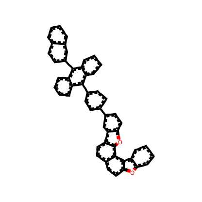 c1ccc2cc(-c3c4ccccc4c(-c4ccc(-c5ccc6oc7c(ccc8ccc9oc%10ccccc%10c9c87)c6c5)cc4)c4ccccc34)ccc2c1